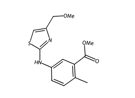 COCc1csc(Nc2ccc(C)c(C(=O)OC)c2)n1